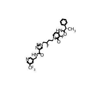 C[C@H](C(=O)Nc1ccn(CCC(F)Cn2cc(C(=O)NCc3cncc(C(F)(F)F)c3)nn2)c(=O)c1F)c1ccccc1